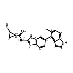 Cc1ccc2[nH]ccc2c1-c1ccc2nc(NC(=O)[C@@H]3CC3F)sc2c1